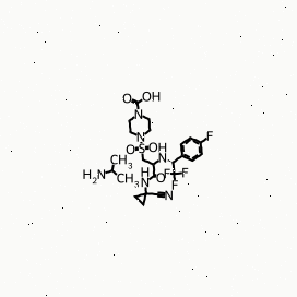 CC(C)N.N#CC1(NC(=O)C(CS(=O)(=O)N2CCN(C(=O)O)CC2)N[C@H](c2ccc(F)cc2)C(F)(F)F)CC1